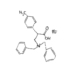 Cc1ccc(C(CN(Cc2ccccc2)Cc2ccccc2)C(=O)O)cc1.[Rb]